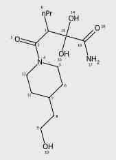 CCCC(C(=O)N1CCC(CCO)CC1)C(O)(O)C(N)=O